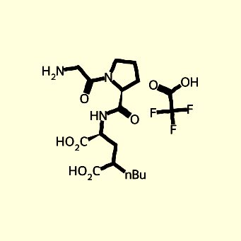 CCCCC(C[C@H](NC(=O)[C@@H]1CCCN1C(=O)CN)C(=O)O)C(=O)O.O=C(O)C(F)(F)F